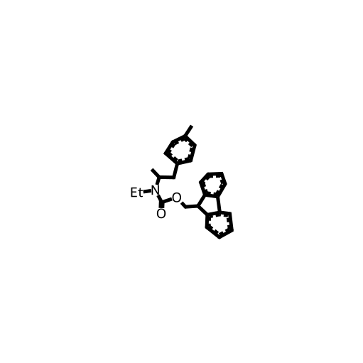 CCN(C(=O)OCC1c2ccccc2-c2ccccc21)C(C)Cc1ccc(C)cc1